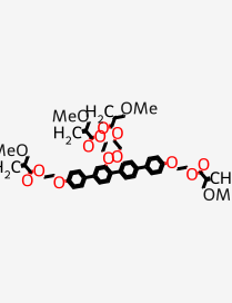 C=C(COC)C(=O)OCCOc1ccc(-c2ccc(-c3ccc(-c4ccc(OCCOC(=O)C(=C)COC)cc4)cc3OCCOC(=O)C(=C)COC)c(OCCOC(=O)C(=C)COC)c2)cc1